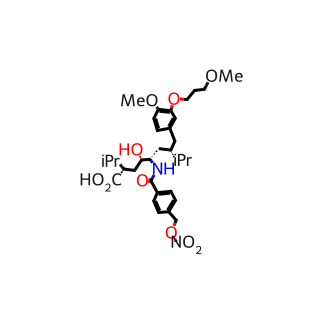 COCCCOc1cc(C[C@@H](C[C@H](NC(=O)c2ccc(CO[N+](=O)[O-])cc2)[C@@H](O)C[C@H](C(=O)O)C(C)C)C(C)C)ccc1OC